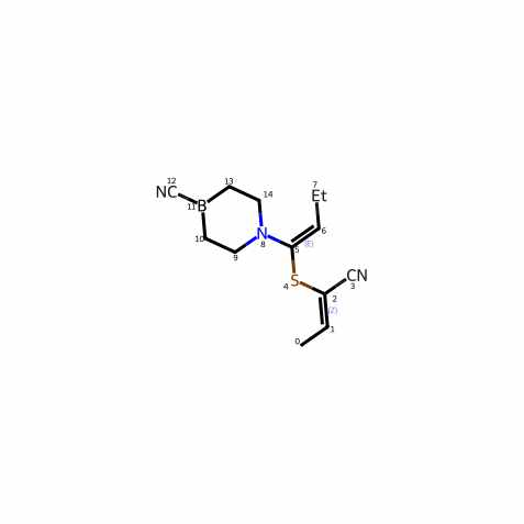 C/C=C(/C#N)S/C(=C/CC)N1CCB(C#N)CC1